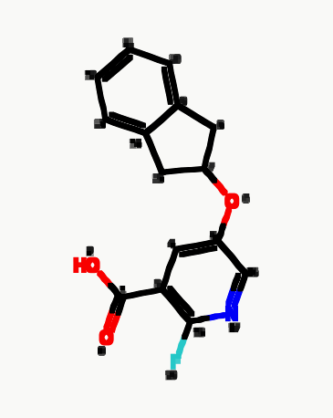 O=C(O)c1cc(OC2Cc3ccccc3C2)cnc1F